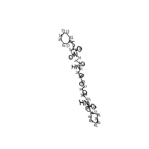 O=C(CCN1C(=O)CC(SC2CCCCCCC2)C1=O)NCCOCCOCCOCCNC(=O)OC1CC/C=C/CCC1